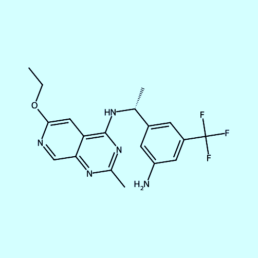 CCOc1cc2c(N[C@H](C)c3cc(N)cc(C(F)(F)F)c3)nc(C)nc2cn1